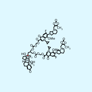 COc1c(N2CC3CCCN(Cc4oc(=O)oc4C)C3C2)c(F)cc2c(=O)c(C(=O)OCOC(=O)OCC([CH]C(=O)[C@]3(O)CC[C@@H]4[C@H]5CCC6=CC(=O)C=C[C@@]6(C)C5[C@H](O)C[C@]43C)COC(=O)OCOC(=O)c3cn(C4CC4)c4c(OC)c(N5CC6CCCN(Cc7oc(=O)oc7C)C6C5)c(F)cc4c3=O)cn(C3CC3)c12